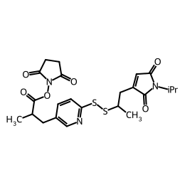 CC(CC1=CC(=O)N(C(C)C)C1=O)SSc1ccc(CC(C)C(=O)ON2C(=O)CCC2=O)cn1